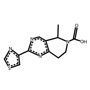 CC1c2cnc(-c3cscn3)nc2CCN1C(=O)O